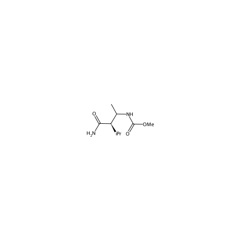 COC(=O)NC(C)[C@H](C(N)=O)C(C)C